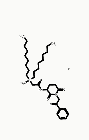 CCCCCCCCC[N+](C)(CCCCCCCCC)CC(=O)NC1CCC(=O)N(CC(=O)c2ccccc2)C1=O.[I-]